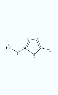 [CH2]c1ccc(CO)s1